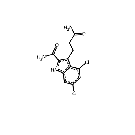 NC(=O)CCc1c(C(N)=O)[nH]c2cc(Cl)cc(Cl)c12